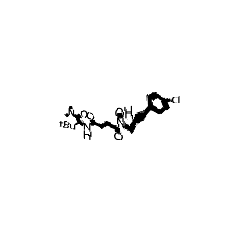 CN(C)C(=O)[C@@H](NC(=O)CCC(=O)N(O)CC#Cc1ccc(Cl)cc1)C(C)(C)C